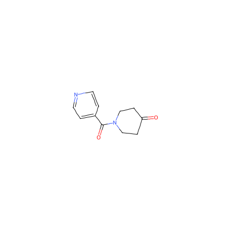 O=C1CCN(C(=O)c2ccncc2)CC1